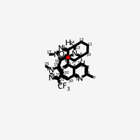 Cc1ccc2c(C(=O)N3[C@H]4CCC[C@@H]3c3nn(C)c(-c5cc(C(F)(F)F)nn5C)c3C4)nccc2n1